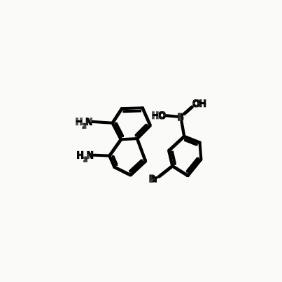 Nc1cccc2cccc(N)c12.OB(O)c1cccc(Br)c1